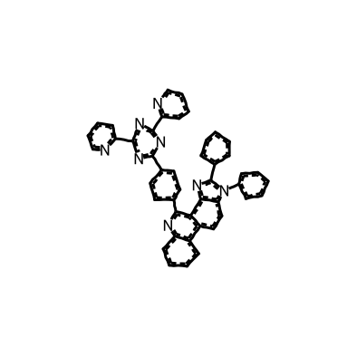 c1ccc(-c2nc3c4c(-c5ccc(-c6nc(-c7ccccn7)nc(-c7ccccn7)n6)cc5)nc5ccccc5c4ccc3n2-c2ccccc2)cc1